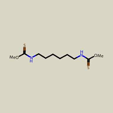 COC(=S)NCCCCCCNC(=S)OC